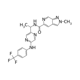 CC(NC(=O)c1cc2cn(C)nc2cn1)c1cnc(Nc2ccc(C(F)(F)F)cc2)cn1